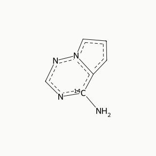 N[14c]1ncnn2cccc12